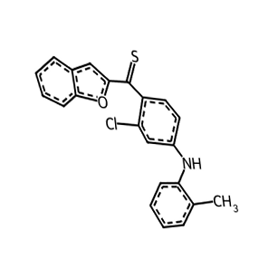 Cc1ccccc1Nc1ccc(C(=S)c2cc3ccccc3o2)c(Cl)c1